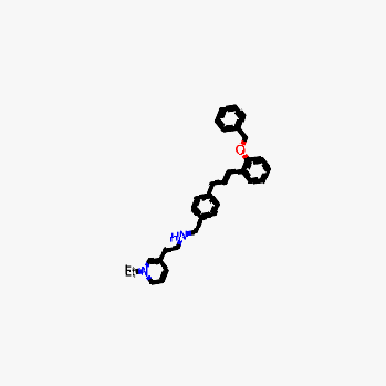 CCN1C=C(CCNCc2ccc(CCCc3ccccc3OCc3ccccc3)cc2)C=CC1